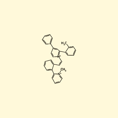 Cc1ccccc1-c1cc(-c2ccccc2)cc[n+]1/C=C\c1ccccc1-c1cccc[n+]1C